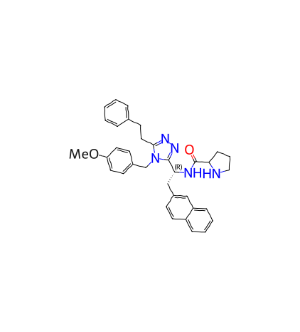 COc1ccc(Cn2c(CCc3ccccc3)nnc2[C@@H](Cc2ccc3ccccc3c2)NC(=O)C2CCCN2)cc1